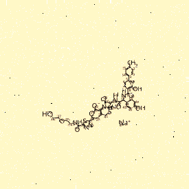 Cc1ccc(-c2ccc(C(=O)NC(C(=O)NC3C(=O)N4C(C(=O)[O-])=C(CSc5nnc(C(=O)NCCOCCO)s5)CS[C@@H]34)c3ccc(O)cc3)c(O)n2)cc1.[Na+]